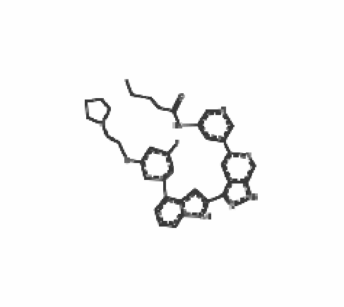 CCCCC(=O)Nc1cncc(-c2cc3c(-c4cc5c(-c6cc(F)cc(OCCN7CCCC7)c6)cccc5[nH]4)n[nH]c3cn2)c1